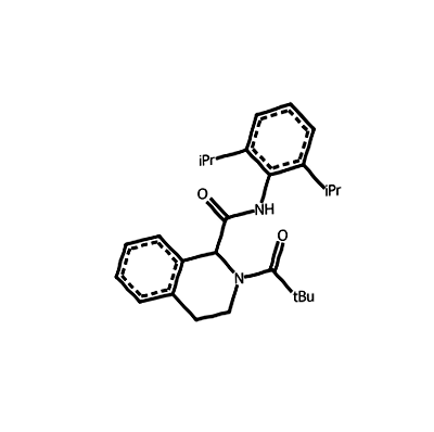 CC(C)c1cccc(C(C)C)c1NC(=O)C1c2ccccc2CCN1C(=O)C(C)(C)C